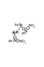 CC(=O)O/N=C(\CCCCCC/C(=N\OC(C)=O)c1ccc2c(c1)c1cc([N+](=O)[O-])ccc1n2CC(C)C)c1ccc2c(c1)c1cc([N+](=O)[O-])ccc1n2CC(C)C